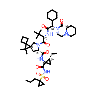 CCCC1(S(=O)(=O)NC(=O)[C@@]2(NC(=O)[C@@H]3C[C@@]4(CN3C(=O)[C@@H](NC(=O)[C@@H](NC(=O)[C@@H]3CCCCN3CC)C3CCCCC3)C(C)(C)C)C(C)(C)C43CCC3)C[C@H]2CC)CC1